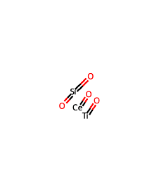 O=[Si]=O.[O]=[Ce].[O]=[Ti]